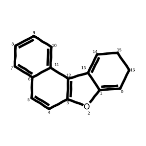 C1=c2oc3ccc4ccccc4c3c2=CCC1